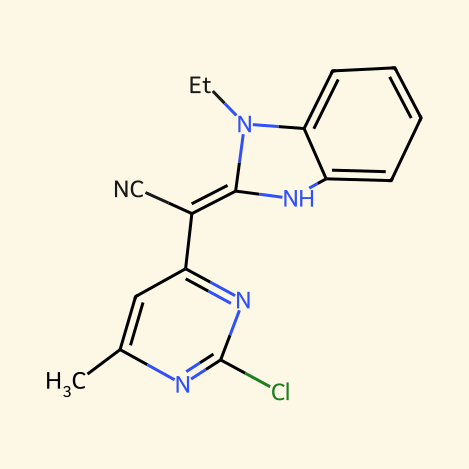 CCN1/C(=C(\C#N)c2cc(C)nc(Cl)n2)Nc2ccccc21